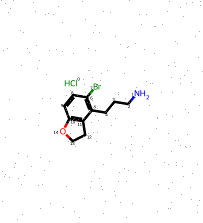 Cl.NCCCc1c(Br)ccc2c1CCO2